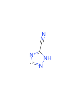 N#CC1=[N+][C]=NN1